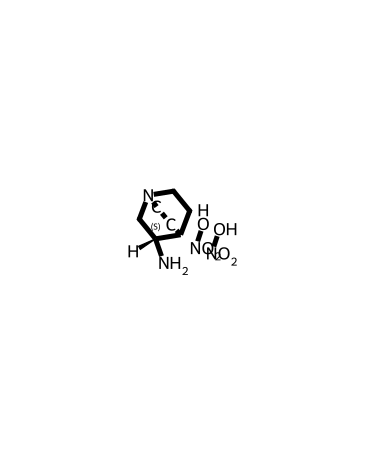 N[C@@H]1CN2CCC1CC2.O=[N+]([O-])O.O=[N+]([O-])O